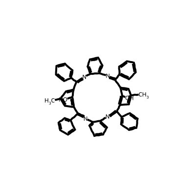 Cc1cc2c(-c3ccccc3)nc3ccccc3nc(-c3ccccc3)c3cc(C)cc(c(-c4ccccc4)nc4ccccc4nc(-c4ccccc4)c(c1)c2O)c3O